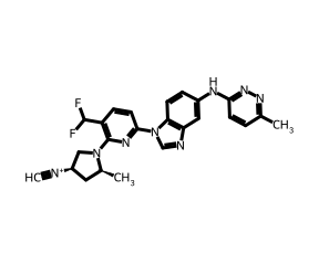 C#[N+][C@@H]1C[C@H](C)N(c2nc(-n3cnc4cc(Nc5ccc(C)nn5)ccc43)ccc2C(F)F)C1